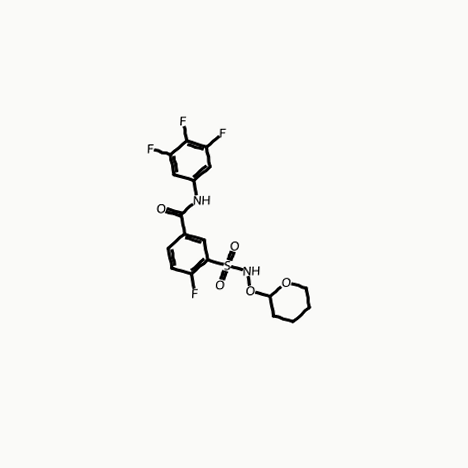 O=C(Nc1cc(F)c(F)c(F)c1)c1ccc(F)c(S(=O)(=O)NOC2CCCCO2)c1